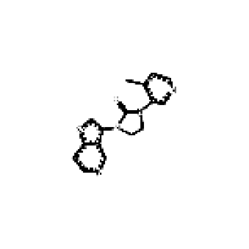 Cc1ccncc1N1CCN(c2csc3ccncc23)C1=O